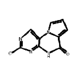 O=c1[nH]c2nc(Cl)ncc2n2cccc12